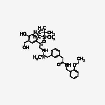 CCOc1ccccc1CNC(=O)Cc1cccc(C[C@@H](C)NC[C@H](O[Si](C)(C)C(C)(C)C)c2ccc(O)c(CO)c2)c1